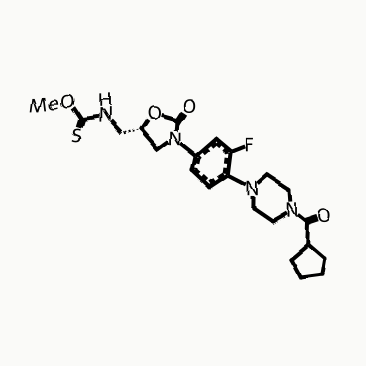 COC(=S)NC[C@H]1CN(c2ccc(N3CCN(C(=O)C4CCCC4)CC3)c(F)c2)C(=O)O1